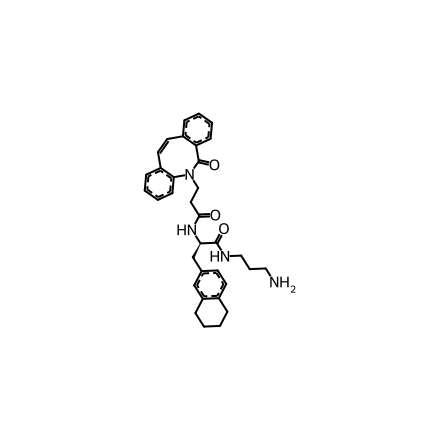 NCCCNC(=O)[C@@H](Cc1ccc2c(c1)CCCC2)NC(=O)CCN1C(=O)c2ccccc2/C=C\c2ccccc21